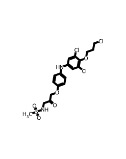 CS(=O)(=O)NCC(=O)COc1ccc(Nc2cc(Cl)c(OCCCCl)c(Cl)c2)cc1